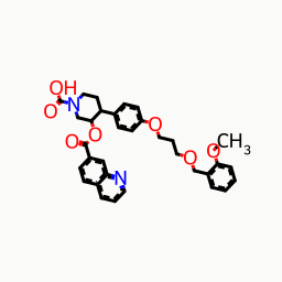 COc1ccccc1COCCCOc1ccc(C2CCN(C(=O)O)CC2OC(=O)c2ccc3cccnc3c2)cc1